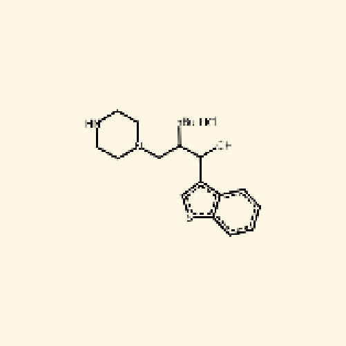 CCCCC(CN1CCNCC1)C(O)c1csc2ccccc12.Cl